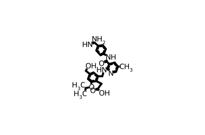 Cc1cnc(NCc2cc(CO)cc(OC(C)C)c2CC(=O)O)c(C(=O)Nc2ccc(C(=N)N)cc2)c1